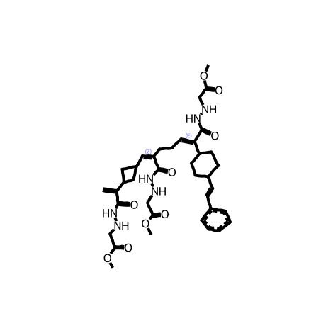 C=C(C(=O)NNCC(=O)OC)C1CC(/C=C(/CC/C=C(/C(=O)NNCC(=O)OC)C2CCC(C=Cc3ccccc3)CC2)C(=O)NNCC(=O)OC)C1